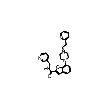 CN(Cc1cccnc1)C(=O)c1cc2cccc(N3CCN(CCc4ccccn4)CC3)c2o1